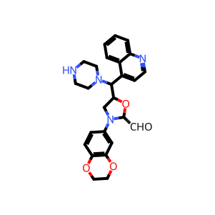 O=CC1OC(C(c2ccnc3ccccc23)N2CCNCC2)CN1c1ccc2c(c1)OCCO2